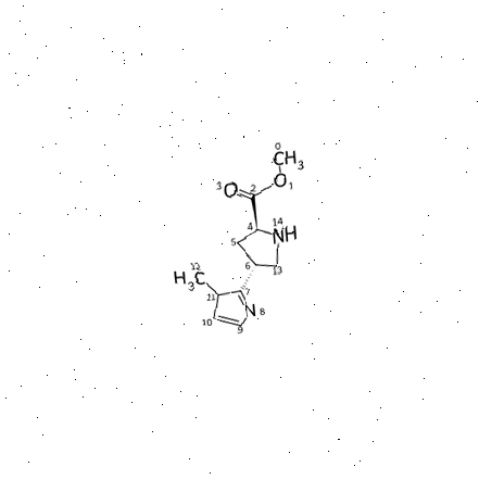 COC(=O)[C@@H]1C[C@@H](C2=NC=CC2C)CN1